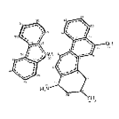 CC1Cc2c(ccc3c2cc(O)c2ccccc23)C(N)C1.c1ccc2c(c1)[nH]c1ccccc12